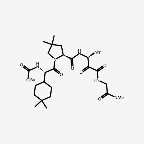 CCC[C@H](NC(=O)[C@@H]1CC(C)(C)CN1C(=O)[C@@H](NC(=O)OCC(C)C)C1CCC(C)(C)CC1)C(=O)C(=O)NCC(=O)NC